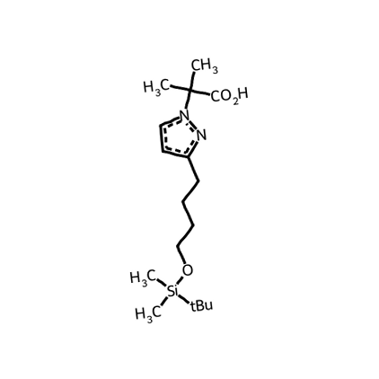 CC(C)(C(=O)O)n1ccc(CCCCO[Si](C)(C)C(C)(C)C)n1